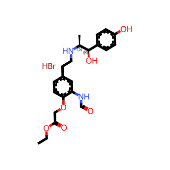 Br.CCOC(=O)COc1ccc(CCN[C@@H](C)[C@H](O)c2ccc(O)cc2)cc1NC=O